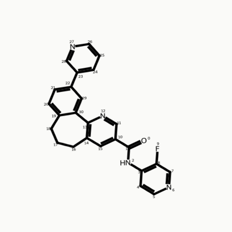 O=C(Nc1ccncc1F)c1cnc2c(c1)CCCc1ccc(-c3cccnc3)cc1-2